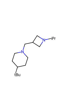 CC(C)N1CC(CN2CCC(C(C)(C)C)CC2)C1